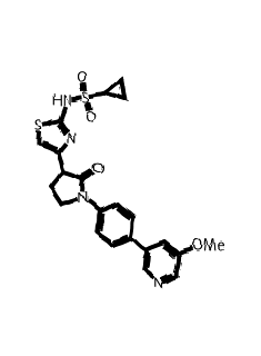 COc1cncc(-c2ccc(N3CCC(c4csc(NS(=O)(=O)C5CC5)n4)C3=O)cc2)c1